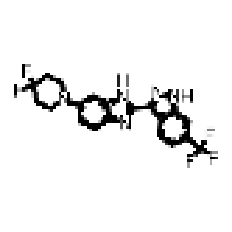 FC1(F)CCN(c2ccc3nc(-c4n[nH]c5cc(C(F)(F)F)ccc45)[nH]c3c2)CC1